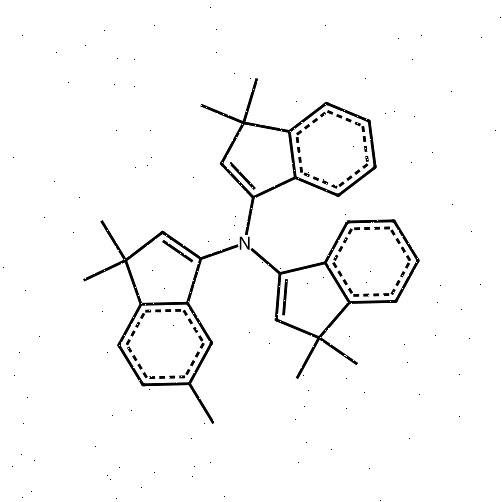 Cc1ccc2c(c1)C(N(C1=CC(C)(C)c3ccccc31)C1=CC(C)(C)c3ccccc31)=CC2(C)C